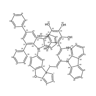 N/C(=C\C(=C/CC12C=CC=C1Oc1ccc(-n3c4ccccc4c4cc(-c5ccccc5)cc(-c5ccccc5)c43)cc12)n1c2ccccc2c2ccccc21)c1c(O)c(O)c(O)c(O)c1O